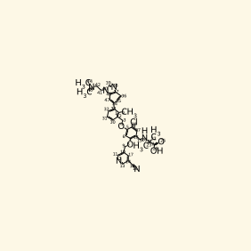 Cc1c(COc2cc(OCc3cncc(C#N)c3)c(CNC(C)(C)C(=O)O)cc2Cl)cccc1-c1ccc2ncn(CCN(C)C)c2c1